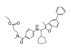 CCOC(=O)CCN(C)C(=O)c1ccc(NC(c2oc3ccc(-c4ccccc4)cc3c2C)C2CCCCC2)cc1